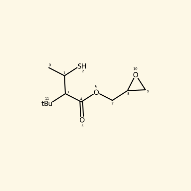 CC(S)C(C(=O)OCC1CO1)C(C)(C)C